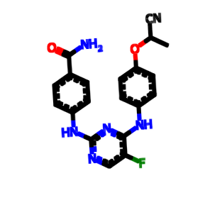 CC(C#N)Oc1ccc(Nc2nc(Nc3ccc(C(N)=O)cc3)ncc2F)cc1